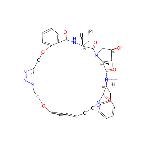 CC(C)C[C@H]1NC(=O)c2ccccc2OCc2cn(nn2)CCOc2ccc(cc2)CCNC(=O)[C@H](Cc2ccccc2)N(C)C(=O)[C@H]2C[C@H](O)CN2C1=O